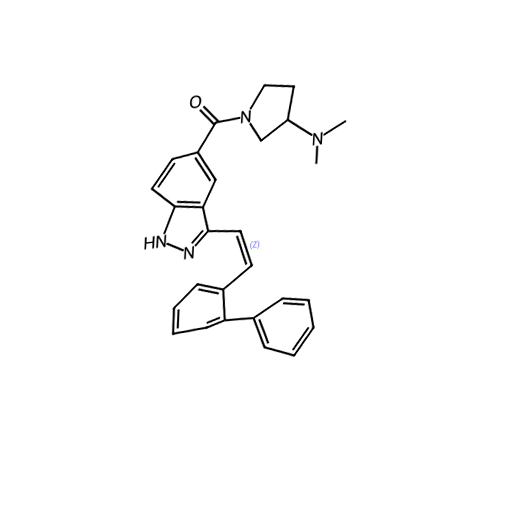 CN(C)C1CCN(C(=O)c2ccc3[nH]nc(/C=C\c4ccccc4-c4ccccc4)c3c2)C1